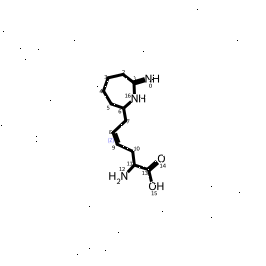 N=C1CCCCC(C/C=C\CC(N)C(=O)O)N1